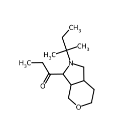 CCC(=O)C1C2COCCC2CN1C(C)(C)CC